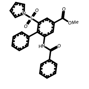 COC(=O)c1cc(NC(=O)c2ccccc2)c(-c2ccccc2)c(S(=O)(=O)n2cccc2)c1